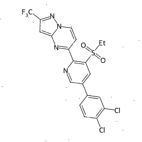 CCS(=O)(=O)c1cc(-c2ccc(Cl)c(Cl)c2)cnc1-c1ccn2nc(C(F)(F)F)cc2n1